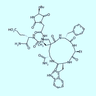 CCCC[C@@H]1NC(=O)N(CC(=O)N[C@@H](CC2(/C=N\C)C[C@@H](C(N)=O)NC(=O)[C@H](Cc3c[nH]c4ccccc34)NC(=O)[C@H](CC)NC(=O)[C@@H](Cc3ccccc3)NC2=O)C(=O)N[C@@H](CCC(=O)O)C(N)=O)C1=O